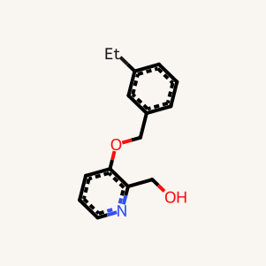 CCc1cccc(COc2cccnc2CO)c1